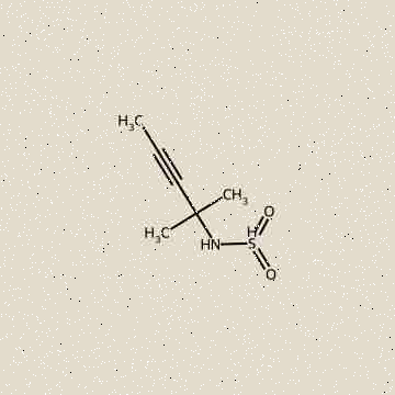 CC#CC(C)(C)N[SH](=O)=O